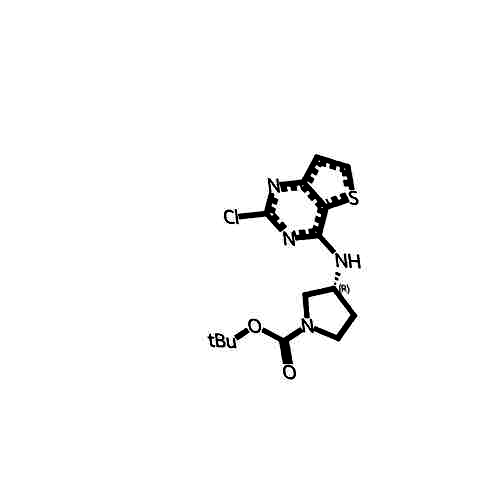 CC(C)(C)OC(=O)N1CC[C@@H](Nc2nc(Cl)nc3ccsc23)C1